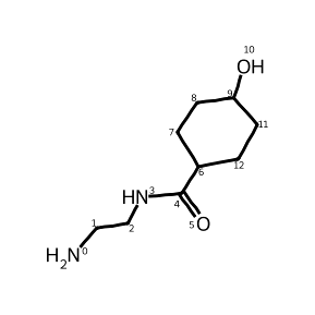 NCCNC(=O)C1CCC(O)CC1